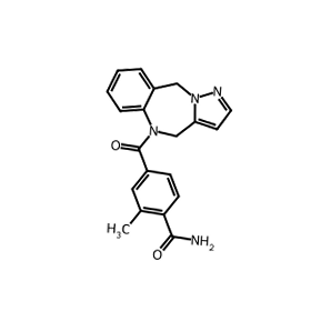 Cc1cc(C(=O)N2Cc3ccnn3Cc3ccccc32)ccc1C(N)=O